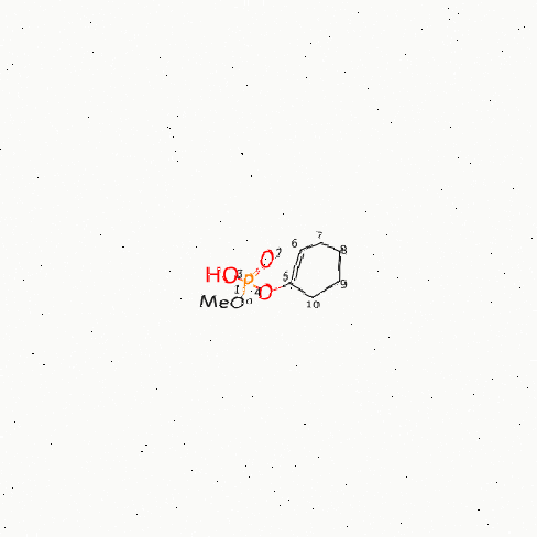 COP(=O)(O)OC1=CCCCC1